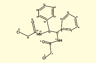 O=C(CCl)NC(c1ccccc1)C(NC(=O)CCl)c1ccccc1